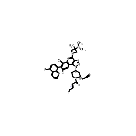 CN(C)C1(C)CN(c2nc3c(Cl)c(-c4ccc(F)c5cccnc45)c(Cl)cc3c3c2nnn3[C@H]2CCN(C(=O)/C=C/CF)[C@H](CC#N)C2)C1